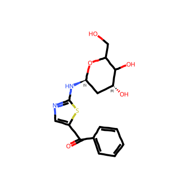 O=C(c1ccccc1)c1cnc(N[C@@H]2C[C@@H](O)C(O)C(CO)O2)s1